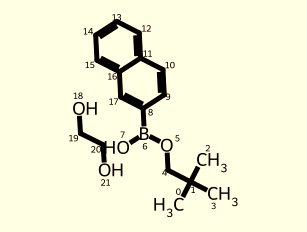 CC(C)(C)COB(O)c1ccc2ccccc2c1.OCCO